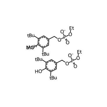 CCOP(=O)([O-])OCc1cc(C(C)(C)C)c(O)c(C(C)(C)C)c1.CCOP(=O)([O-])OCc1cc(C(C)(C)C)c(O)c(C(C)(C)C)c1.[Mn+2]